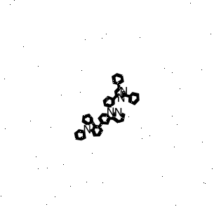 c1ccc(-c2cc(-c3cccc(-n4c5ccc(-c6cccc7c6c6ccccc6n7-c6ccccc6)cc5c5cccnc54)c3)nc(-c3ccccc3)n2)cc1